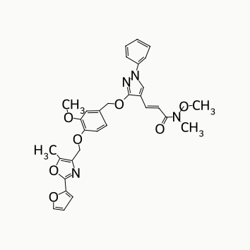 COc1cc(COc2nn(-c3ccccc3)cc2C=CC(=O)N(C)OC)ccc1OCc1nc(-c2ccco2)oc1C